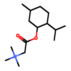 CC1CCC(C(C)C)C(OC(=O)C[N+](C)(C)C)C1